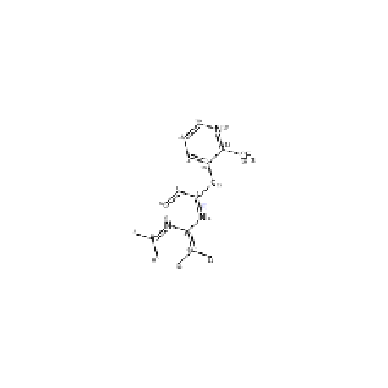 C=C/C(=N\C(N=C(C)C)=C(C)C)Sc1cccnc1C(F)(F)F